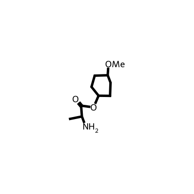 COC1CCC(OC(=O)C(C)N)CC1